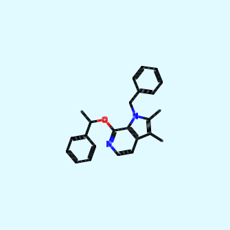 Cc1c(C)n(Cc2ccccc2)c2c(OC(C)c3ccccc3)nccc12